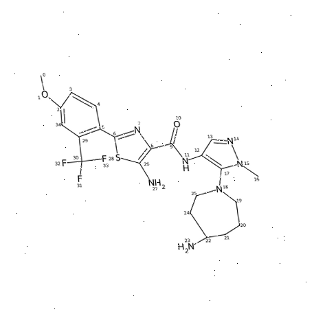 COc1ccc(-c2nc(C(=O)Nc3cnn(C)c3N3CCCC(N)CC3)c(N)s2)c(C(F)(F)F)c1